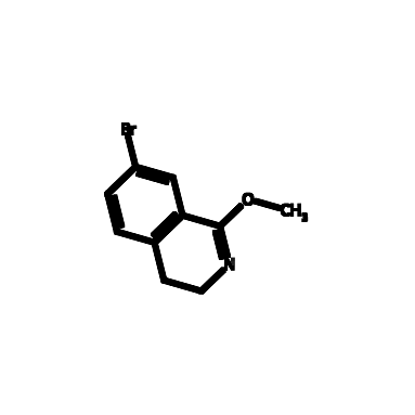 COC1=NCCc2ccc(Br)cc21